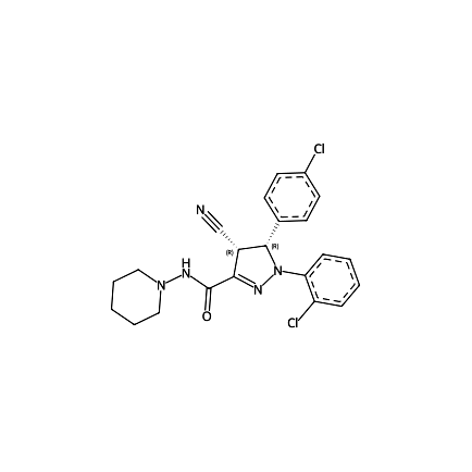 N#C[C@H]1C(C(=O)NN2CCCCC2)=NN(c2ccccc2Cl)[C@H]1c1ccc(Cl)cc1